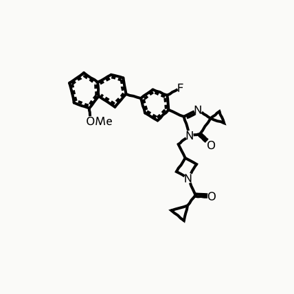 COc1cccc2ccc(-c3ccc(C4=NC5(CC5)C(=O)N4CC4CN(C(=O)C5CC5)C4)c(F)c3)cc12